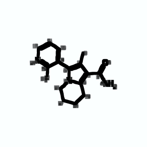 Cc1c(C(N)=O)c2n(c1-c1cccnc1F)CCCC2